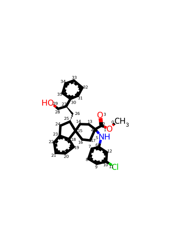 COC(=O)C1(Nc2cccc(Cl)c2)CCC2(CC1)c1ccccc1C[C@@H]2C[C@@H](CO)c1ccccc1